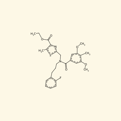 CCOC(=O)c1nc(CN(CCCc2ccccc2F)C(=O)c2cc(OC)c(C)c(OC)c2)sc1C